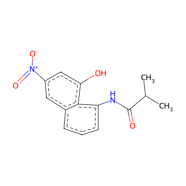 CC(C)C(=O)Nc1cccc2cc([N+](=O)[O-])cc(O)c12